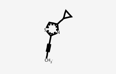 [CH2]C#Cc1nc(C2CC2)cs1